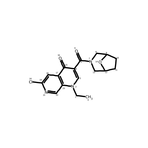 CCn1cc(C(=O)N2CC3CCC(C2)O3)c(=O)c2cc(Cl)ncc21